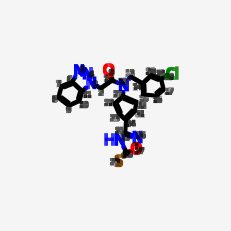 O=C(Cn1nnc2ccccc21)N(Cc1cccc(Cl)c1)c1ccc(-c2noc(=S)[nH]2)cc1